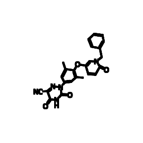 Cc1cc(-n2nc(C#N)c(=O)[nH]c2=O)cc(C)c1Oc1ccc(=O)n(Cc2ccccc2)c1